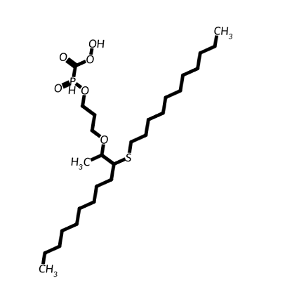 CCCCCCCCCCCSC(CCCCCCCCC)C(C)OCCCO[PH](=O)C(=O)OO